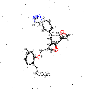 CCOC(=O)Cc1ccc(C)cc1OCc1coc2c1cc(-c1cccc(CN)c1)c1occc12